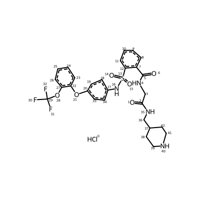 Cl.O=C(CNC(=O)c1ccccc1S(=O)(=O)Nc1ccc(Oc2ccccc2OC(F)(F)F)cc1)NCC1CCNCC1